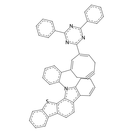 C1#CC/C(c2ccccc2-n2c3c(c4ccc5c6ccccc6sc5c42)C=CCC3)=C\C(c2nc(-c3ccccc3)nc(-c3ccccc3)n2)=C/C1